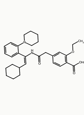 CCOc1cc(CC(=O)NC(=CC2CCCCC2)c2ccccc2N2CCCCC2)ccc1C(=O)O